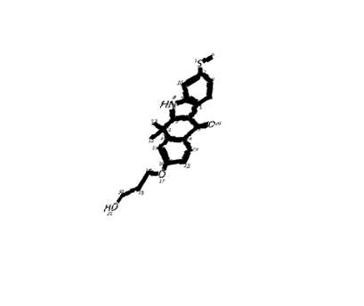 CSc1ccc2c3c([nH]c2c1)C(C)(C)c1cc(OCCCO)ccc1C3=O